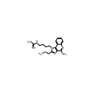 COCc1nc2c(N)nc3ccccc3c2n1CCCCNC(=N)N